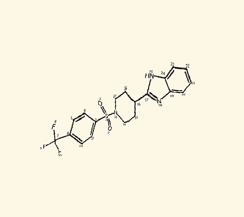 O=S(=O)(c1ccc(C(F)(F)F)cc1)N1CCC(c2nc3ccccc3[nH]2)CC1